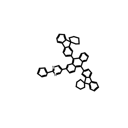 c1ccc(-c2ncc(-c3ccc4c(-c5ccc6c(c5)C5(CCCCC5)c5ccccc5-6)c5ccccc5c(-c5ccc6c(c5)C5(CCCCC5)c5ccccc5-6)c4c3)cn2)cc1